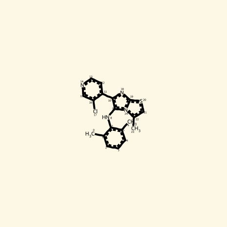 Cc1cccc(C)c1Nc1c(-c2ccncc2Cl)nc2scc(C)n12